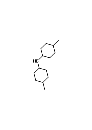 CC1CCC(BC2CCC(C)CC2)CC1